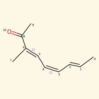 CC=C/C=C\C=C(/C)C(C)=O